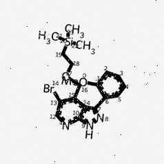 COc1ccccc1-c1n[nH]c2ncc(Br)c(COCC[Si](C)(C)C)c12